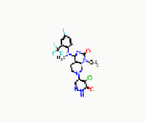 CN(c1ccc(F)cc1C(F)(F)F)c1nc(=O)n(C)c2c1CCN(c1cn[nH]c(=O)c1Cl)C2